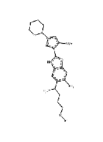 CCOCCCN(C)c1cc2[nH]c(-c3nn(C4CCCCO4)cc3NC)nc2cc1P